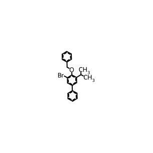 CC(C)c1cc(-c2ccccc2)cc(Br)c1OCc1ccccc1